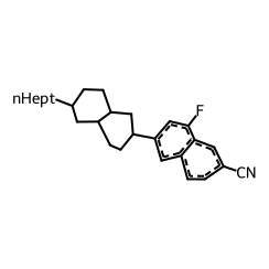 CCCCCCCC1CCC2CC(c3cc(F)c4cc(C#N)ccc4c3)CCC2C1